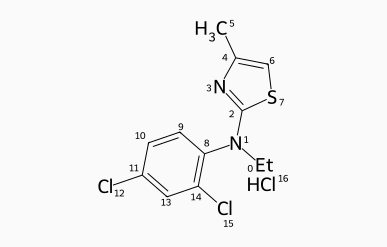 CCN(c1nc(C)cs1)c1ccc(Cl)cc1Cl.Cl